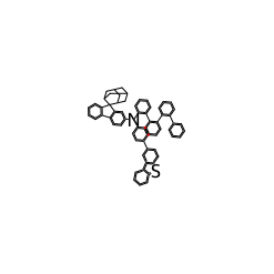 c1ccc(-c2ccccc2-c2ccccc2-c2ccccc2N(c2ccc(-c3ccc4sc5ccccc5c4c3)cc2)c2ccc3c(c2)C2(c4ccccc4-3)C3CC4CC(C3)CC2C4)cc1